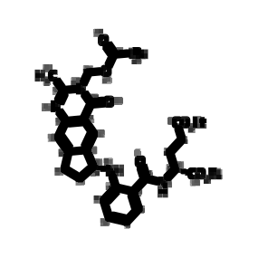 CCOC(=O)CC[C@@H](NC(=O)c1ccccc1N[C@@H]1CCc2cc3nc(C)n(COC(=O)C(C)(C)C)c(=O)c3cc21)C(=O)OCC